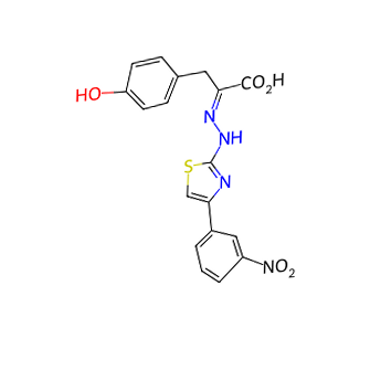 O=C(O)C(Cc1ccc(O)cc1)=NNc1nc(-c2cccc([N+](=O)[O-])c2)cs1